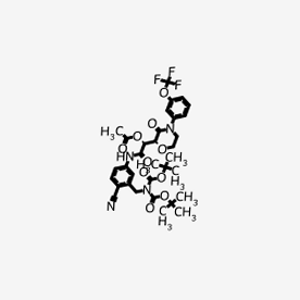 CC(=O)O[C@@H](C(=O)Nc1ccc(C#N)c(CN(C(=O)OC(C)(C)C)C(=O)OC(C)(C)C)c1)[C@H]1OCCN(c2cccc(OC(F)(F)F)c2)C1=O